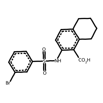 O=C(O)c1c(NS(=O)(=O)c2cccc(Br)c2)ccc2c1CCCC2